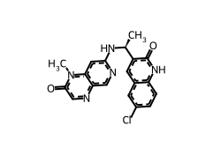 C[C@H](Nc1cc2c(cn1)ncc(=O)n2C)c1cc2cc(Cl)ccc2[nH]c1=O